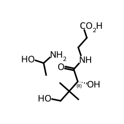 CC(C)(CO)[C@@H](O)C(=O)NCCC(=O)O.CC(N)O